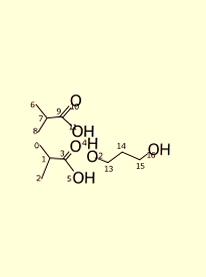 CC(C)C(=O)O.CC(C)C(=O)O.OCCCO